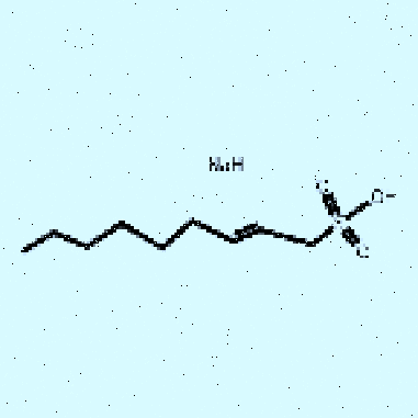 CCCCCCC=CCS(=O)(=O)O.[NaH]